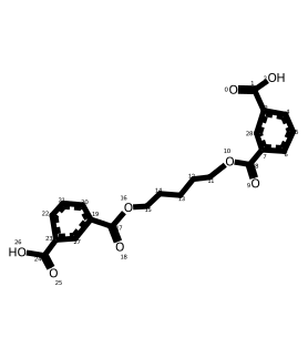 O=C(O)c1cccc(C(=O)OCCCCCOC(=O)c2cccc(C(=O)O)c2)c1